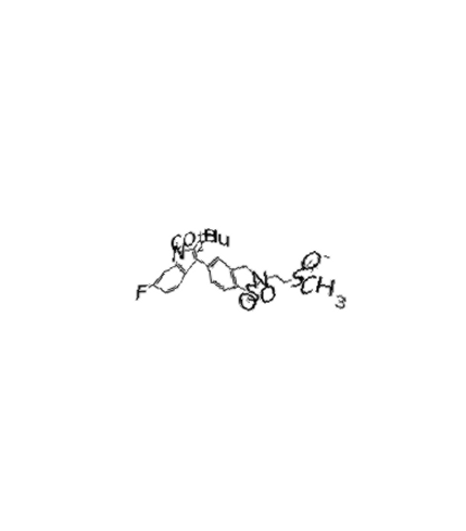 C[S+]([O-])CCN1Cc2cc(-c3c(C(C)(C)C)n(C(=O)O)c4cc(F)ccc34)ccc2S1(=O)=O